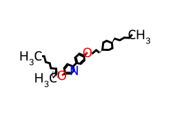 CCCCCC[C@H](C)Oc1ccc(-c2ccc(OCCC[C@H]3CC[C@H](CCCCC)CC3)cc2)nc1